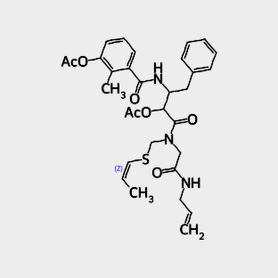 C=CCNC(=O)CN(CS/C=C\C)C(=O)C(OC(C)=O)C(Cc1ccccc1)NC(=O)c1cccc(OC(C)=O)c1C